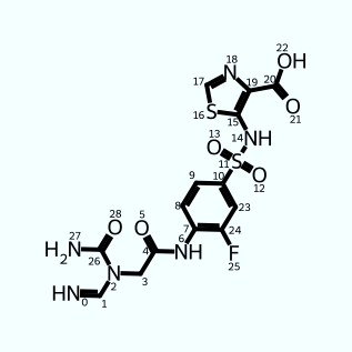 N=CN(CC(=O)Nc1ccc(S(=O)(=O)Nc2scnc2C(=O)O)cc1F)C(N)=O